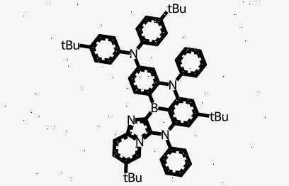 CC(C)(C)c1ccc(N(c2ccc(C(C)(C)C)cc2)c2ccc3c(c2)N(c2ccccc2)c2cc(C(C)(C)C)cc4c2B3c2nc3ccc(C(C)(C)C)cn3c2N4c2ccccc2)cc1